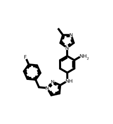 Cc1cn(C2=CCC(Nc3ccn(Cc4ccc(F)cc4)n3)C=C2N)cn1